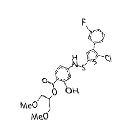 COCC(COC)OC(=O)c1ccc(NSc2cc(-c3cccc(F)c3)c(Cl)s2)cc1O